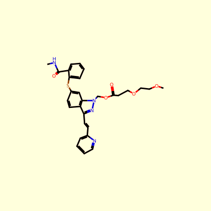 CNC(=O)c1ccccc1Sc1ccc2c(/C=C/c3ccccn3)nn(COC(=O)CCOCCOC)c2c1